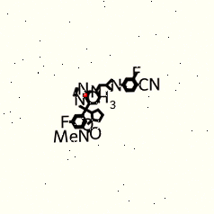 CNC(=O)OC1CCCC1C(Cn1ccnc1C)(c1cccc(F)c1)C1CCN(CC2CN(c3ccc(C#N)c(F)c3)C2)CC1